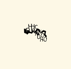 Cc1cn([C@H]2CCC(CO)O2)c(=O)nc1NCc1ccco1